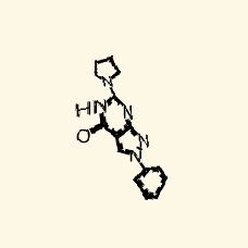 O=c1[nH]c(N2CCCC2)nc2nn(-c3ccccc3)cc12